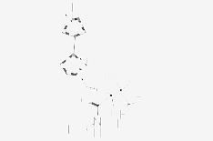 CC(CCn1ccc(-c2cc[nH]c2)n1)(C(=O)NO)C(C)(O)C(F)F